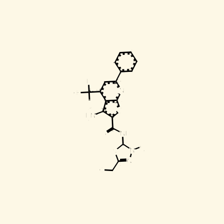 CCC1=NN(C)C(NC(=O)c2sc3nc(-c4ccccc4)cc(C(F)(F)F)c3c2N)S1